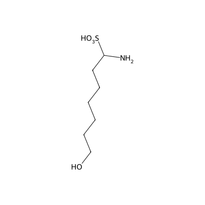 NC(CCCCCCO)S(=O)(=O)O